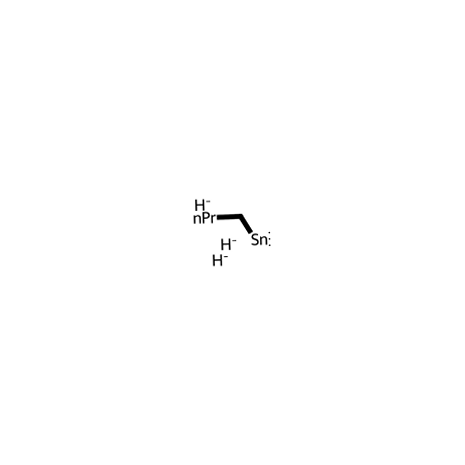 CCC[CH2][Sn].[H-].[H-].[H-]